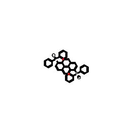 O=P(c1ccccc1)(c1ccccc1)c1ccc2ccc3c(P(=O)(c4ccccc4)c4ccccc4)ccc4ccc1c2c43